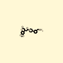 NCc1cccc(C2CCN(C(=O)Cc3cc(=O)oc4cc5c(cc34)OCO5)CC2)c1